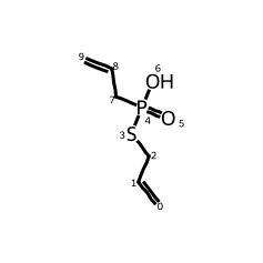 C=CCSP(=O)(O)CC=C